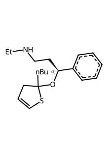 CCCCC1(O[C@@H](CCNCC)c2ccccc2)CC=CS1